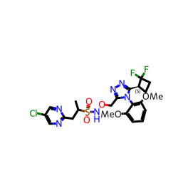 COc1cccc(OC)c1-n1c(CONS(=O)(=O)C(C)Cc2ncc(Cl)cn2)nnc1[C@@H]1CCC1(F)F